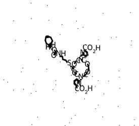 O=C(NCCCCCSC[C@@H]1COCCN(Cc2cccc(C(=O)O)n2)CCOCCOCCN(Cc2cccc(C(=O)O)n2)CCO1)OC[C@H]1[C@@H]2CCC#CCC[C@@H]21